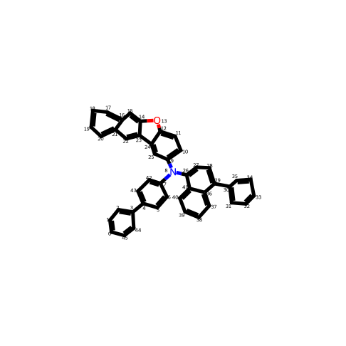 c1ccc(-c2ccc(N(c3ccc4oc5cc6ccccc6cc5c4c3)c3ccc(-c4ccccc4)c4ccccc34)cc2)cc1